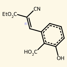 CCOC(=O)/C(C#N)=C/c1cccc(O)c1C(=O)O